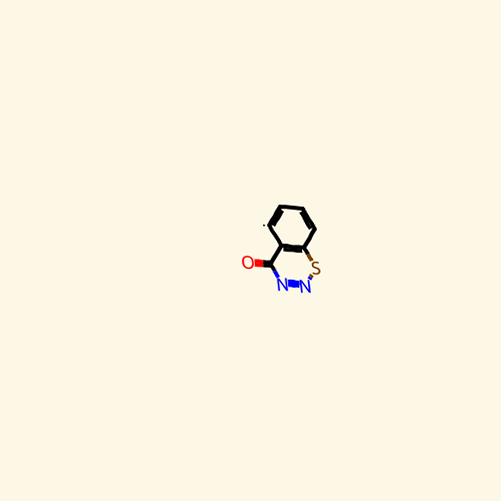 O=c1nnsc2ccc[c]c12